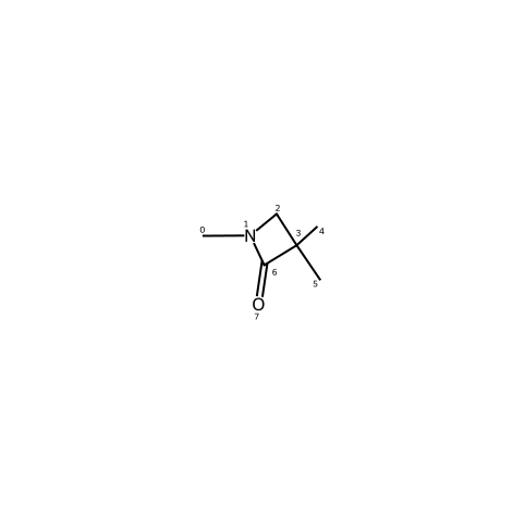 CN1CC(C)(C)C1=O